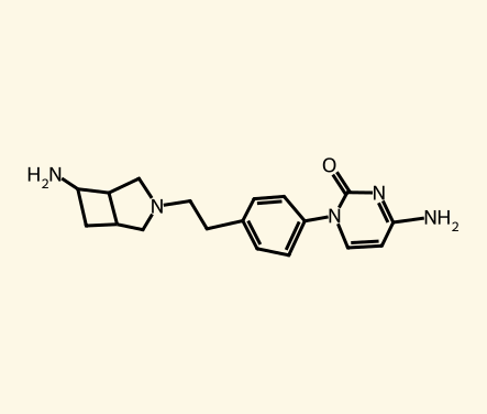 Nc1ccn(-c2ccc(CCN3CC4CC(N)C4C3)cc2)c(=O)n1